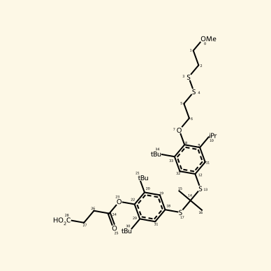 COCCSSCCOc1c(C(C)C)cc(SC(C)(C)Sc2cc(C(C)(C)C)c(OC(=O)CCC(=O)O)c(C(C)(C)C)c2)cc1C(C)(C)C